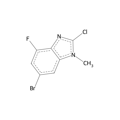 Cn1c(Cl)nc2c(F)cc(Br)cc21